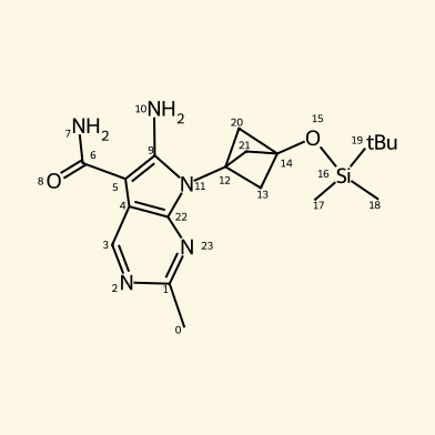 Cc1ncc2c(C(N)=O)c(N)n(C34CC(O[Si](C)(C)C(C)(C)C)(C3)C4)c2n1